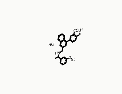 CCOc1cccc(C(C)NCc2cc(-c3ccc(F)c(C(=O)O)c3)c3ccccc3c2)c1.Cl